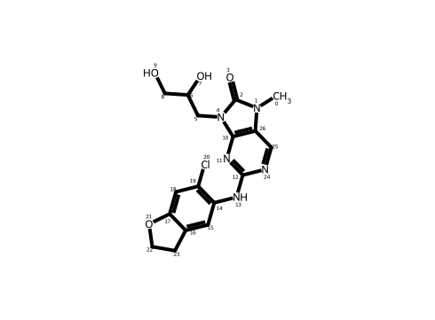 Cn1c(=O)n(CC(O)CO)c2nc(Nc3cc4c(cc3Cl)OCC4)ncc21